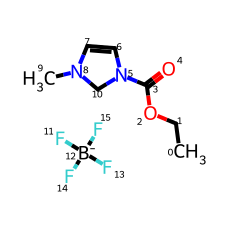 CCOC(=O)N1C=CN(C)C1.F[B-](F)(F)F